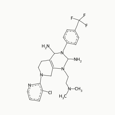 CN(C)CCN1C2=C(CCN(c3ncccc3Cl)C2)C(N)N(c2ccc(C(F)(F)F)cc2)C1N